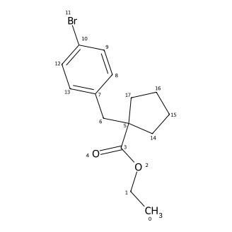 CCOC(=O)C1(Cc2ccc(Br)cc2)CCCC1